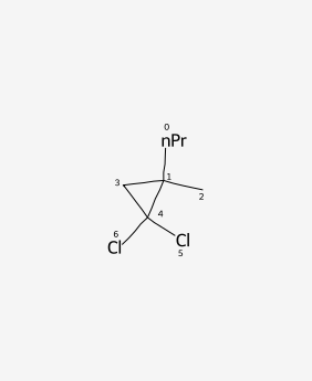 CCCC1(C)CC1(Cl)Cl